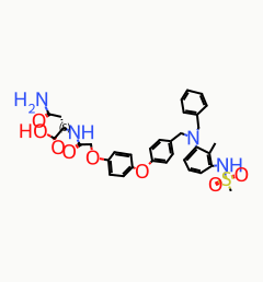 Cc1c(NS(C)(=O)=O)cccc1N(Cc1ccccc1)Cc1ccc(Oc2ccc(OCC(=O)N[C@@H](CC(N)=O)C(=O)O)cc2)cc1